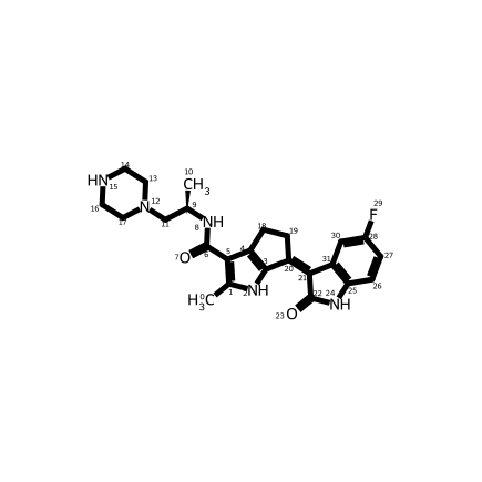 Cc1[nH]c2c(c1C(=O)N[C@H](C)CN1CCNCC1)CC/C2=C1/C(=O)Nc2ccc(F)cc21